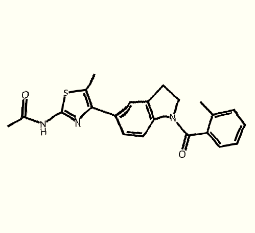 CC(=O)Nc1nc(-c2ccc3c(c2)CCN3C(=O)c2ccccc2C)c(C)s1